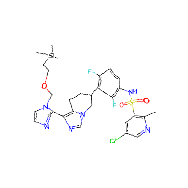 Cc1ncc(Cl)cc1S(=O)(=O)Nc1ccc(F)c(C2CCc3c(-c4nccn4COCC[Si](C)(C)C)ncn3C2)c1F